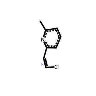 Cc1cccc(/C=C\Cl)n1